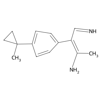 C/C(N)=C(\C=N)c1ccc(C2(C)CC2)cc1